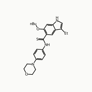 CCCCOc1cc2[nH]cc(CC)c2cc1C(=S)Nc1ccc(N2CCOCC2)cc1